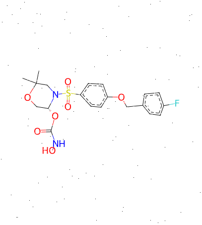 CC1(C)CN(S(=O)(=O)c2ccc(OCc3ccc(F)cc3)cc2)[C@H](OC(=O)NO)CO1